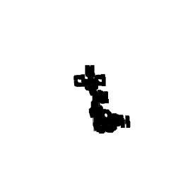 N#Cc1c(Cl)cc(Cn2cncc2CN2CCN(c3cccc4ccc(O)cc34)C(=O)C2)cc1Cl